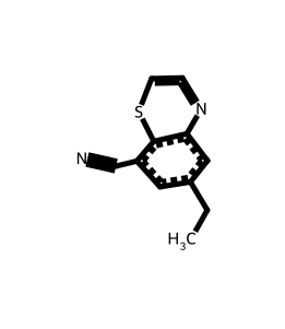 CCc1cc(C#N)c2c(c1)N=C=CS2